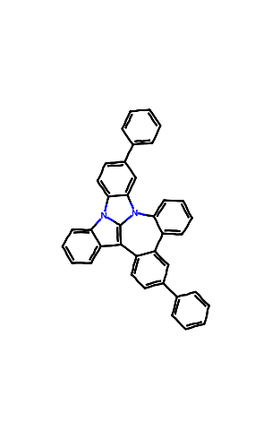 c1ccc(-c2ccc3c(c2)-c2ccccc2-n2c4cc(-c5ccccc5)ccc4n4c5ccccc5c-3c24)cc1